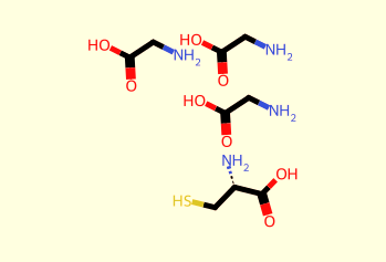 NCC(=O)O.NCC(=O)O.NCC(=O)O.N[C@@H](CS)C(=O)O